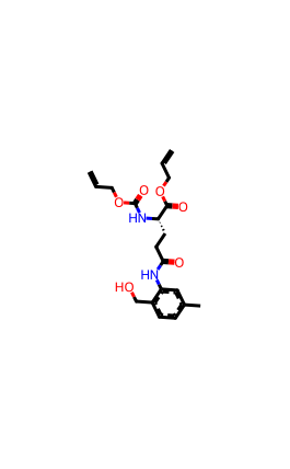 C=CCOC(=O)N[C@@H](CCC(=O)Nc1cc(C)ccc1CO)C(=O)OCC=C